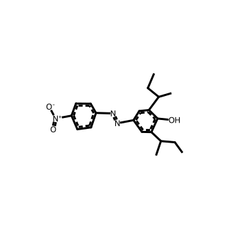 CCC(C)c1cc(/N=N/c2ccc([N+](=O)[O-])cc2)cc(C(C)CC)c1O